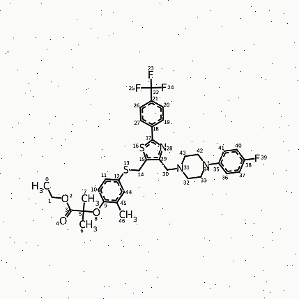 CCOC(=O)C(C)(C)Oc1ccc(SCc2sc(-c3ccc(C(F)(F)F)cc3)nc2CN2CCN(c3ccc(F)cc3)CC2)cc1C